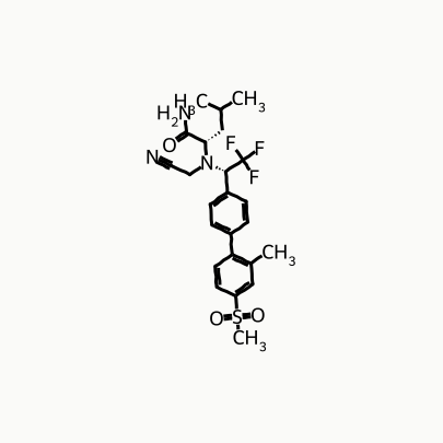 Cc1cc(S(C)(=O)=O)ccc1-c1ccc([C@H](N(CC#N)[C@@H](CC(C)C)C(N)=O)C(F)(F)F)cc1